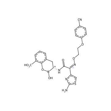 N#Cc1ccc(OCCO/N=C(\C(=O)N[C@H]2Cc3cccc(C(=O)O)c3OB2O)c2csc(N)n2)cc1